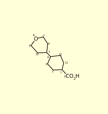 O=C(O)C1CCC(C2CCOCC2)CC1